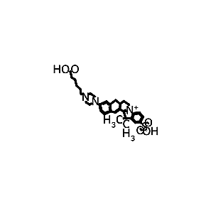 CC1(C)C2=[N+](CCC3Cc4cc(N5CCN(CCCCCC(=O)O)CC5)ccc4C=C23)c2ccc(S(=O)(=O)O)cc21